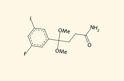 COC(CCC(N)=O)(OC)c1cc(F)cc(I)c1